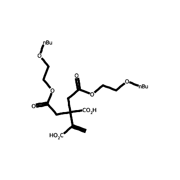 C=C(C(=O)O)C(CC(=O)OCCOCCCC)(CC(=O)OCCOCCCC)C(=O)O